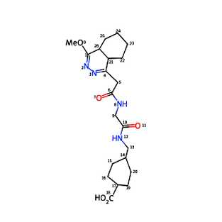 COC1=NN=C(CC(=O)NCC(=O)NCC2CCC(C(=O)O)CC2)C2CCCCC12